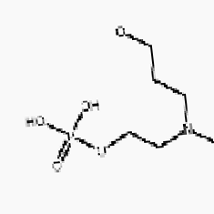 CN(CCC[O])CCOP(=O)(O)O